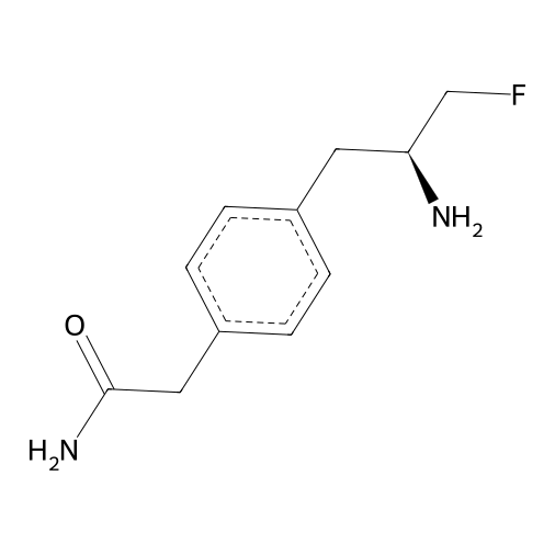 NC(=O)Cc1ccc(C[C@H](N)CF)cc1